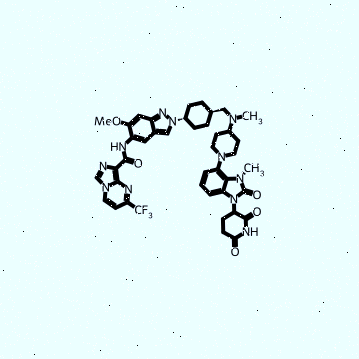 COc1cc2nn([C@H]3CC[C@H](CN(C)C4CCN(c5cccc6c5n(C)c(=O)n6C5CCC(=O)NC5=O)CC4)CC3)cc2cc1NC(=O)c1ncn2ccc(C(F)(F)F)nc12